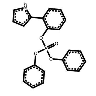 O=P(Oc1ccccc1)(Oc1ccccc1)Oc1ccccc1-c1ccc[nH]1